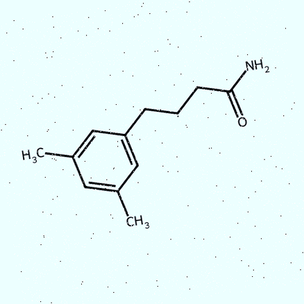 Cc1cc(C)cc(C[CH]CC(N)=O)c1